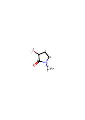 CON1CCC(Br)C1=O